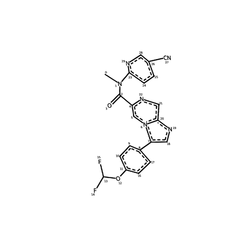 CN(C(=O)c1cn2c(-c3ccc(OC(F)F)cc3)cnc2cn1)c1ccc(C#N)cn1